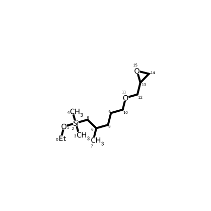 CCO[Si](C)(C)CC(C)CCCOCC1CO1